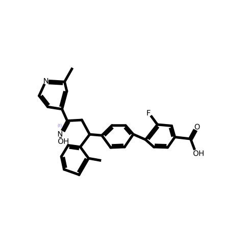 Cc1cc(/C(CC(c2ccc(-c3ccc(C(=O)O)cc3F)cc2)c2ccccc2C)=N/O)ccn1